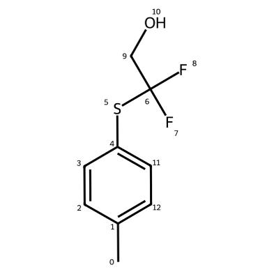 Cc1ccc(SC(F)(F)CO)cc1